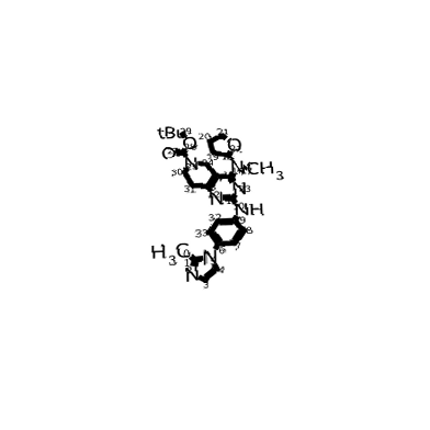 Cc1nccn1-c1ccc(Nc2nc3c(c(N(C)[C@H]4CCCO4)n2)CN(C(=O)OC(C)(C)C)CC3)cc1